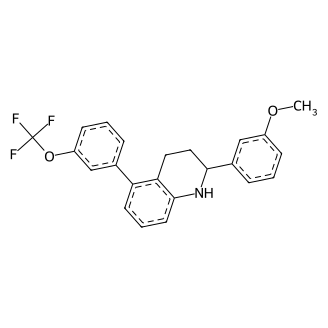 COc1cccc(C2CCc3c(cccc3-c3cccc(OC(F)(F)F)c3)N2)c1